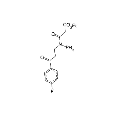 CCOC(=O)CC(=O)N(P)CCC(=O)c1ccc(F)cc1